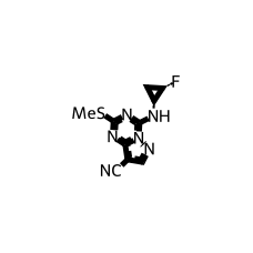 CSc1nc(N[C@@H]2C[C@@H]2F)n2ncc(C#N)c2n1